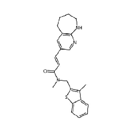 Cc1c(CN(C)C(=O)/C=C/c2cnc3c(c2)CCCCN3)sc2ccccc12